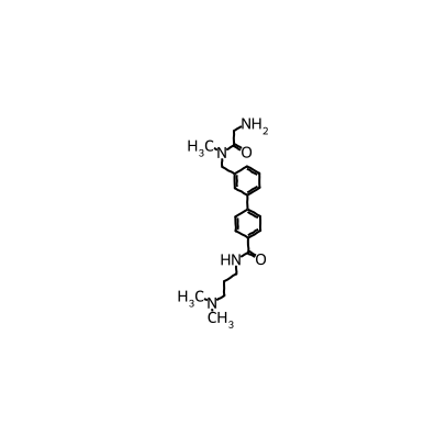 CN(C)CCCNC(=O)c1ccc(-c2cccc(CN(C)C(=O)CN)c2)cc1